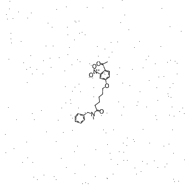 CC(=O)c1ccc(OCCCCCC(=O)N(C)Cc2ccccc2)cc1[N+](=O)[O-]